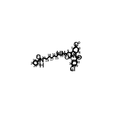 COc1ccc2c(c1)c(CC(=O)NCCCCCCCCNC(=O)C1CCCC1)c(C)n2C(=O)c1ccc(Cl)cc1